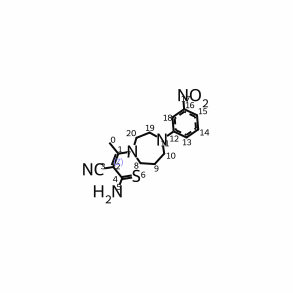 C/C(=C(\C#N)C(N)=S)N1CCCN(c2cccc([N+](=O)[O-])c2)CC1